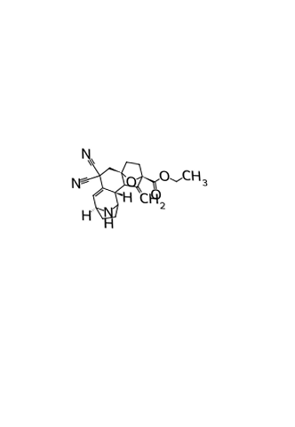 C=C1C2[C@H]3C(=C[C@@H]4CCC3N4)C(C#N)(C#N)C[C@]23CC[C@@]1(C(=O)OCC)O3